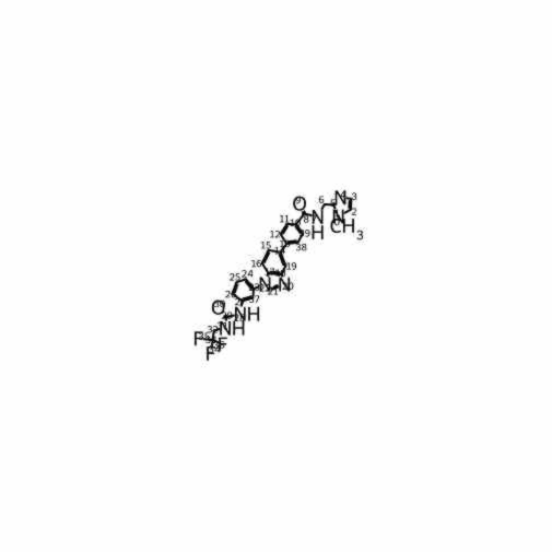 Cn1ccnc1CNC(=O)c1ccc(-c2ccc3c(c2)ncn3-c2cccc(NC(=O)NCC(F)(F)F)c2)cc1